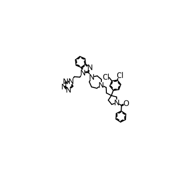 O=C(c1ccccc1)N1CCC(CCN2CCCN(c3nc4ccccc4n3CCn3cnnn3)CC2)(c2ccc(Cl)c(Cl)c2)C1